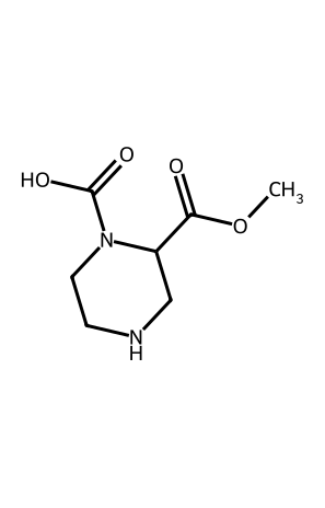 COC(=O)C1CNCCN1C(=O)O